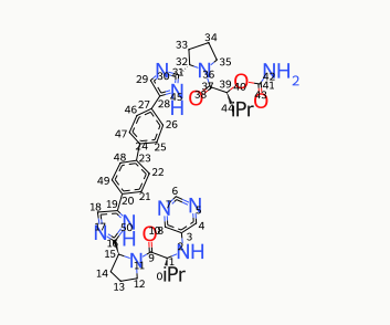 CC(C)[C@H](Nc1cncnc1)C(=O)N1CCC[C@H]1c1ncc(-c2ccc(-c3ccc(-c4cnc([C@@H]5CCCN5C(=O)[C@@H](OC(N)=O)C(C)C)[nH]4)cc3)cc2)[nH]1